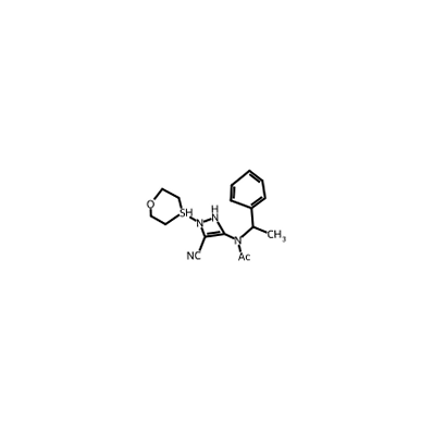 CC(=O)N(c1[nH]n([SH]2CCOCC2)c1C#N)C(C)c1ccccc1